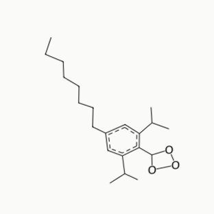 CCCCCCCCc1cc(C(C)C)c(C2OOO2)c(C(C)C)c1